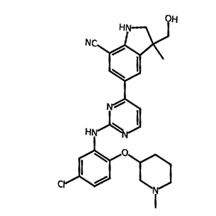 CN1CCCC(Oc2ccc(Cl)cc2Nc2nccc(-c3cc(C#N)c4c(c3)C(C)(CO)CN4)n2)C1